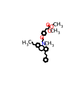 CCCc1ccc2c(c1)CCc1c(CCc3ccccc3)cccc1C2N(C)CCOc1ccc(CC(OC)C(=O)OCC)cc1